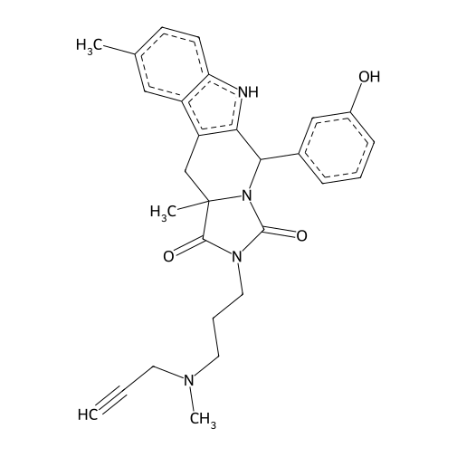 C#CCN(C)CCCN1C(=O)N2C(c3cccc(O)c3)c3[nH]c4ccc(C)cc4c3CC2(C)C1=O